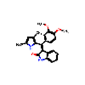 COc1ccc(/C(=C2/C(=O)Nc3ccccc32)c2[nH]c(C)cc2C)cc1OC